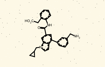 NCc1cccc(-c2cc(C(=O)Nc3ccccc3CC(=O)O)cc3c2ccn3CC2CC2)c1